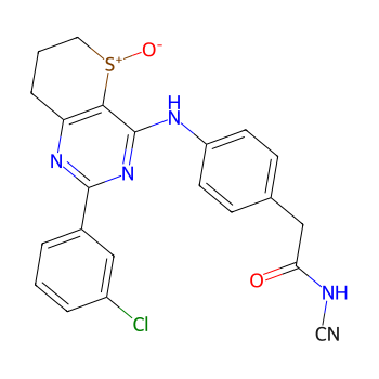 N#CNC(=O)Cc1ccc(Nc2nc(-c3cccc(Cl)c3)nc3c2[S+]([O-])CCC3)cc1